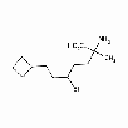 CCC(CCC1CCC1)CCC(C)(N)C(=O)O